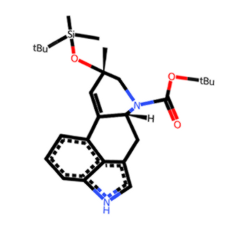 CC(C)(C)OC(=O)N1C[C@@](C)(O[Si](C)(C)C(C)(C)C)C=C2c3cccc4[nH]cc(c34)C[C@H]21